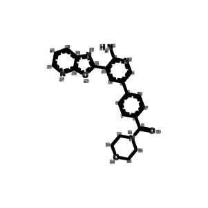 Nc1ncc(-c2ccc(C(=O)N3CCOCC3)cc2)cc1-c1nc2cccnc2o1